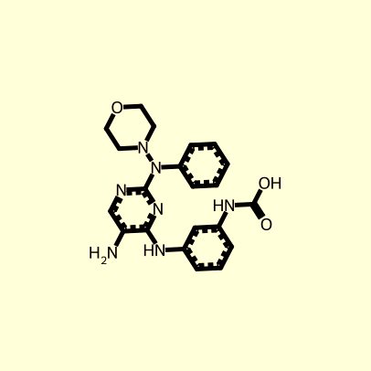 Nc1cnc(N(c2ccccc2)N2CCOCC2)nc1Nc1cccc(NC(=O)O)c1